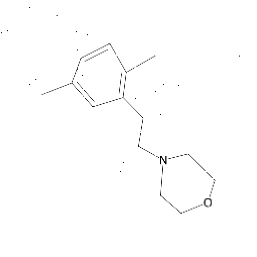 Cc1ccc(C)c(CCN2CCOCC2)c1